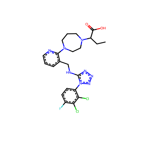 CCC(C(=O)O)N1CCCN(c2ncccc2CNc2nnnn2-c2ccc(F)c(Cl)c2Cl)CC1